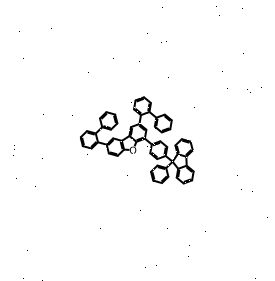 c1ccc(-c2ccccc2-c2ccc3oc4c(-c5ccc(C6(c7ccccc7)c7ccccc7-c7ccccc76)cc5)cc(-c5ccccc5-c5ccccc5)cc4c3c2)cc1